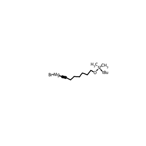 CC(C)(C)[Si](C)(C)OCCCCCCC#[C][Mg][Br]